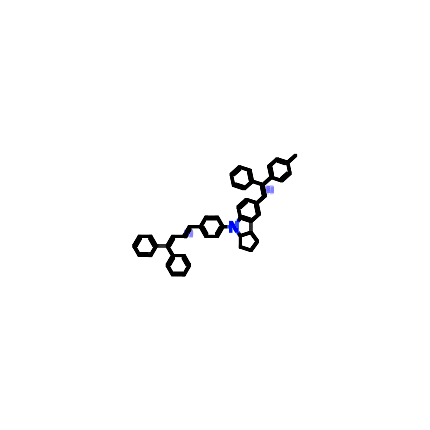 Cc1ccc(/C(=C/c2ccc3c(c2)C2CCCC2N3c2ccc(/C=C/C=C(c3ccccc3)c3ccccc3)cc2)c2ccccc2)cc1